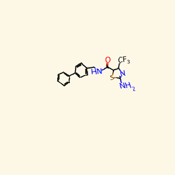 NC1=NC(C(F)(F)F)C(C(=O)NCc2ccc(-c3ccccc3)cc2)S1